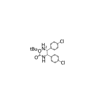 CC(C)(C)OC(=O)NC(c1ccc(Cl)cc1)C(N)c1ccc(Cl)cc1